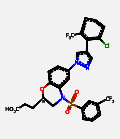 O=C(O)CC[C@@H]1CN(S(=O)(=O)c2cccc(C(F)(F)F)c2)c2cc(-n3cc(-c4c(Cl)cccc4C(F)(F)F)cn3)ccc2O1